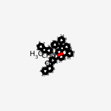 CC1(C)c2ccccc2-c2ccc(N(c3ccc4c(c3)C(c3ccccc3)(c3ccccc3)c3ccccc3-4)c3cc4oc5c6ccccc6ccc5c4cc3-c3ccc(-c4ccccc4)cc3)cc21